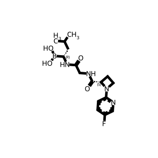 CC(C)C[C@H](NC(=O)CNC(=O)[C@@H]1CCN1c1ccc(F)cn1)B(O)O